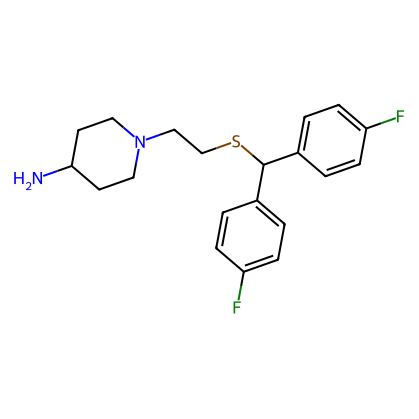 NC1CCN(CCSC(c2ccc(F)cc2)c2ccc(F)cc2)CC1